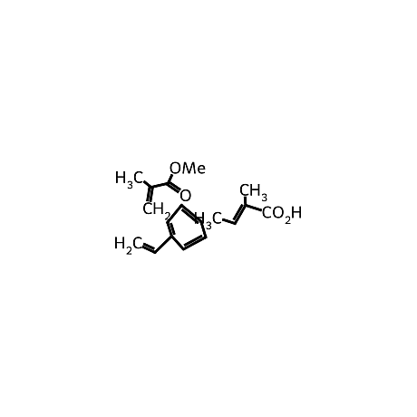 C=C(C)C(=O)OC.C=Cc1ccccc1.CC=C(C)C(=O)O